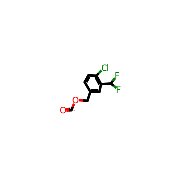 O=[C]OCc1ccc(Cl)c(C(F)F)c1